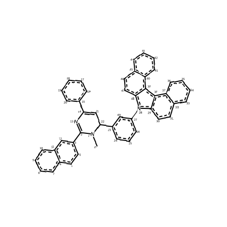 CN1C(c2ccc3ccccc3c2)=NC(c2ccccc2)=CC1c1cccc(-n2c3ccc4ccccc4c3c3c4ccccc4ccc32)c1